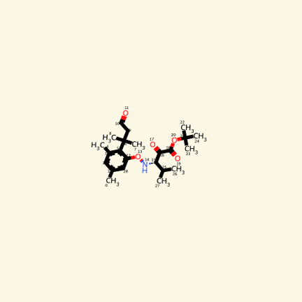 Cc1cc(C)c(C(C)(C)CC=O)c(ON[C@H](C(=O)C(=O)OC(C)(C)C)C(C)C)c1